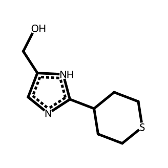 OCc1cnc(C2CCSCC2)[nH]1